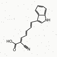 N#C\C(=C/C=C/C=C/c1c[nH]c2ccccc12)C(=O)O